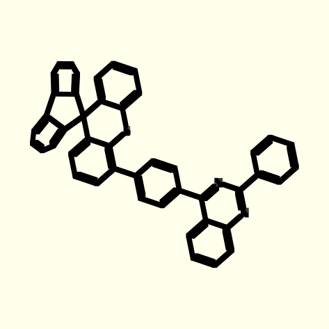 c1ccc(-c2nc(-c3ccc(-c4cccc5c4Sc4ccccc4C54c5ccccc5-c5ccccc54)cc3)c3ccccc3n2)cc1